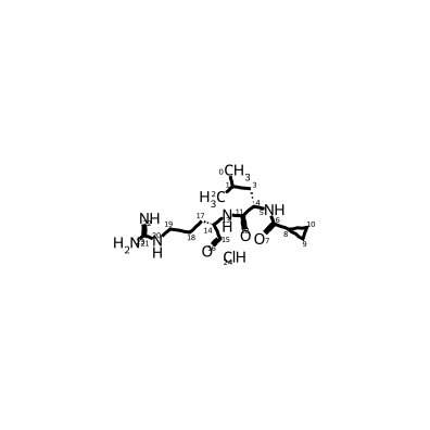 CC(C)C[C@H](NC(=O)C1CC1)C(=O)N[C@H](C=O)CCCNC(=N)N.Cl